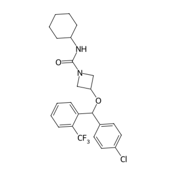 O=C(NC1CCCCC1)N1CC(OC(c2ccc(Cl)cc2)c2ccccc2C(F)(F)F)C1